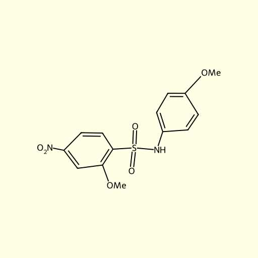 COc1ccc(NS(=O)(=O)c2ccc([N+](=O)[O-])cc2OC)cc1